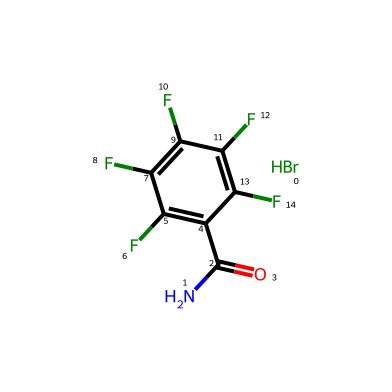 Br.NC(=O)c1c(F)c(F)c(F)c(F)c1F